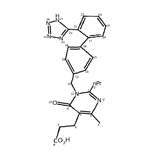 CCCc1nc(C)c(CCC(=O)O)c(=O)n1Cc1ccc(-c2ccccc2-c2nnn[nH]2)cc1